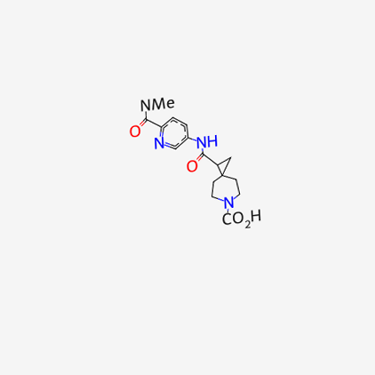 CNC(=O)c1ccc(NC(=O)C2CC23CCN(C(=O)O)CC3)cn1